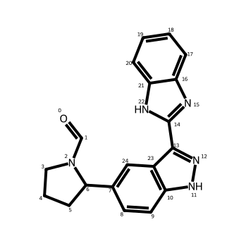 O=CN1CCCC1c1ccc2[nH]nc(-c3nc4ccccc4[nH]3)c2c1